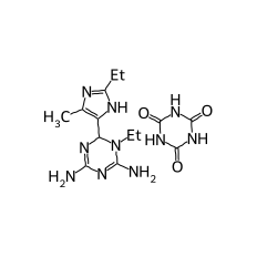 CCc1nc(C)c(C2N=C(N)N=C(N)N2CC)[nH]1.O=c1[nH]c(=O)[nH]c(=O)[nH]1